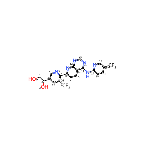 OC[C@H](O)c1cnc(-c2ccc3c(Nc4ccc(C(F)(F)F)cn4)ncnc3n2)c(C(F)(F)F)c1